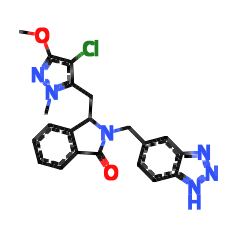 COc1nn(C)c(CC2c3ccccc3C(=O)N2Cc2ccc3[nH]nnc3c2)c1Cl